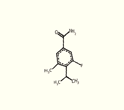 Cc1cc(C(N)=O)cc(F)c1C(C)C